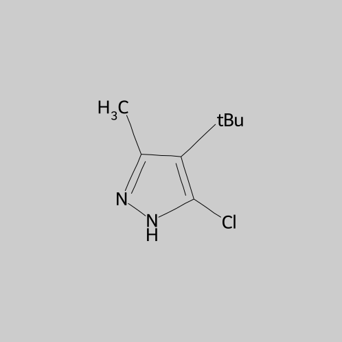 Cc1n[nH]c(Cl)c1C(C)(C)C